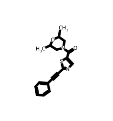 CC1CN(C(=O)c2cnc(C#Cc3ccccc3)s2)CC(C)O1